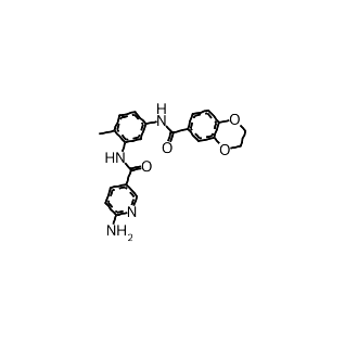 Cc1ccc(NC(=O)c2ccc3c(c2)OCCO3)cc1NC(=O)c1ccc(N)nc1